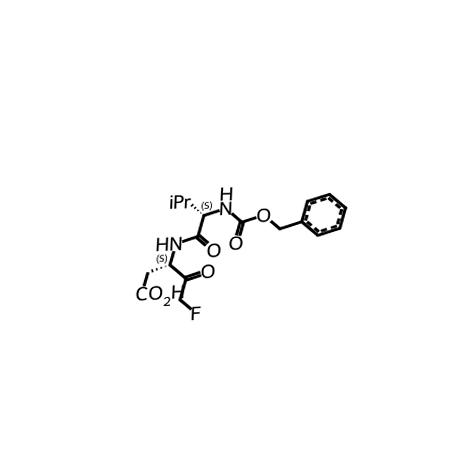 CC(C)[C@H](NC(=O)OCc1ccccc1)C(=O)N[C@@H](CC(=O)O)C(=O)CF